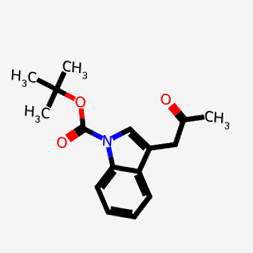 CC(=O)Cc1cn(C(=O)OC(C)(C)C)c2ccccc12